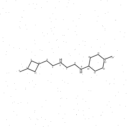 CC1CC(CCNCCNC2CCN(C)CC2)C1